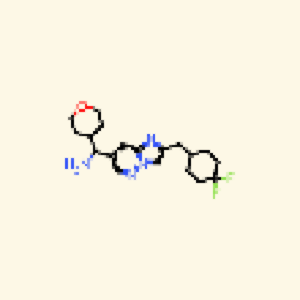 NC(c1cnn2cc(CC3CCC(F)(F)CC3)nc2c1)C1CCOCC1